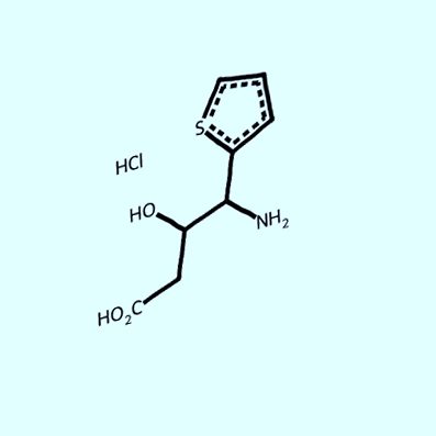 Cl.NC(c1cccs1)C(O)CC(=O)O